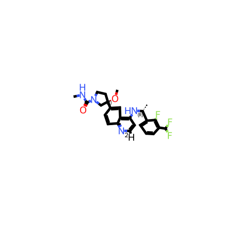 [2H]c1cc(N[C@H](C)c2cccc(C(F)F)c2F)c2cc([C@]3(OC)CCN(C(=O)NC)C3)ccc2n1